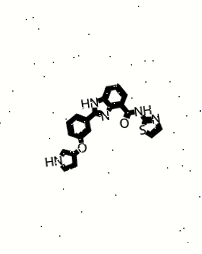 O=C(Nc1nccs1)c1cccc2[nH]c(-c3cccc(OC4CCNC4)c3)nc12